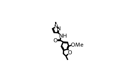 COc1cc(C(=O)Nc2ccn(C)n2)cc2c1OC(C)C2